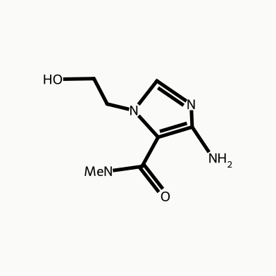 CNC(=O)c1c(N)ncn1CCO